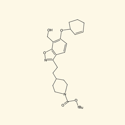 CC(C)(C)OC(=O)N1CCC(CCc2noc3c(CO)c(OC4C=CCCC4)ccc23)CC1